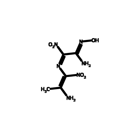 C\C(N)=C(/N=C(\C(N)=N\O)[N+](=O)[O-])[N+](=O)[O-]